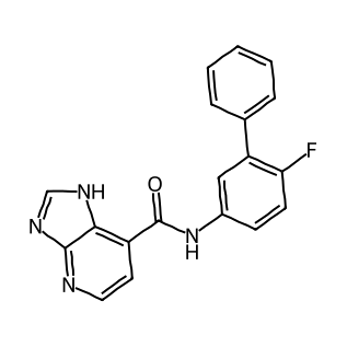 O=C(Nc1ccc(F)c(-c2ccccc2)c1)c1ccnc2nc[nH]c12